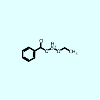 CCO[SiH2]OC(Cl)c1ccccc1